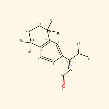 CC(C)/C(=C/C=O)c1ccc2c(c1)C(C)(C)CCC2(C)C